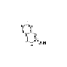 N#CC1=Cc2ccccc2CC1